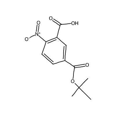 CC(C)(C)OC(=O)c1ccc([N+](=O)[O-])c(C(=O)O)c1